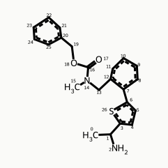 CC(N)c1ccc(-c2ccccc2CN(C)C(=O)OCc2ccccc2)s1